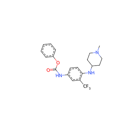 CN1CCC(Nc2ccc(NC(=O)Oc3ccccc3)cc2C(F)(F)F)CC1